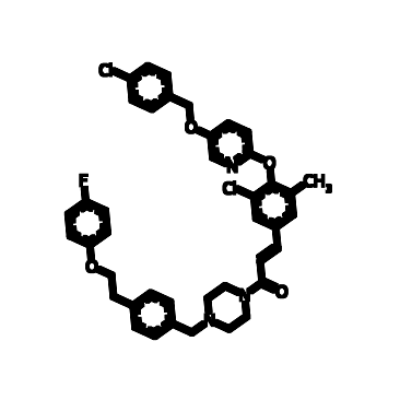 Cc1cc(C=CC(=O)N2CCN(Cc3ccc(CCOc4ccc(F)cc4)cc3)CC2)cc(Cl)c1Oc1ccc(OCc2ccc(Cl)cc2)cn1